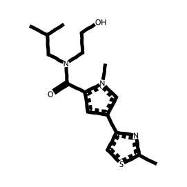 Cc1nc(-c2cc(C(=O)N(CCO)CC(C)C)n(C)c2)cs1